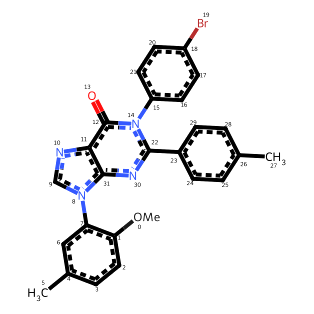 COc1ccc(C)cc1-n1cnc2c(=O)n(-c3ccc(Br)cc3)c(-c3ccc(C)cc3)nc21